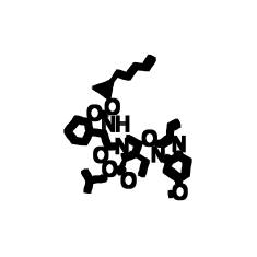 C=CCCC[C@@H]1C[C@H]1OC(=O)N[C@H](C(=O)N1C[C@H](Oc2nc3cc(OC)ccc3nc2C=C)[C@@H](CC)[C@H]1C(=O)OCC(C)C)C1CCCCC1